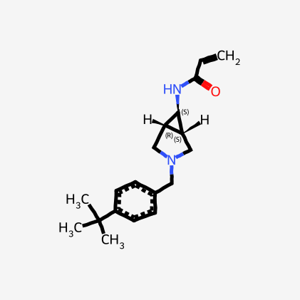 C=CC(=O)N[C@H]1[C@@H]2CN(Cc3ccc(C(C)(C)C)cc3)C[C@@H]21